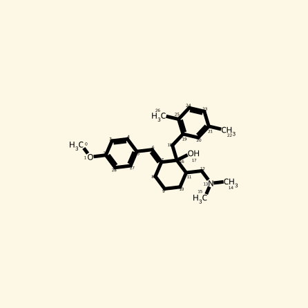 COc1ccc(C=C2CCCC(CN(C)C)C2(O)Cc2cc(C)ccc2C)cc1